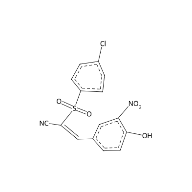 N#CC(=Cc1ccc(O)c([N+](=O)[O-])c1)S(=O)(=O)c1ccc(Cl)cc1